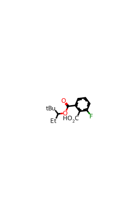 CCC(OC(=O)c1cccc(F)c1C(=O)O)C(C)(C)C